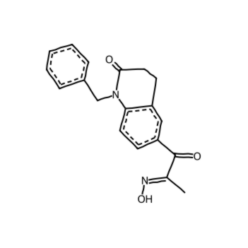 CC(=NO)C(=O)c1ccc2c(c1)CCC(=O)N2Cc1ccccc1